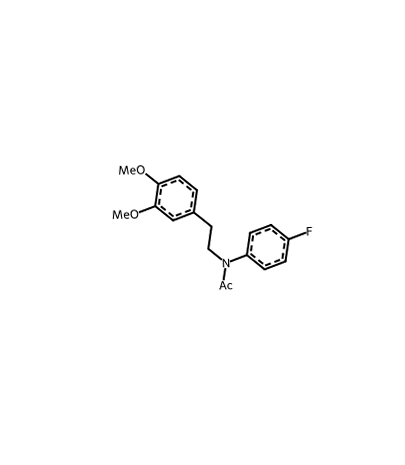 COc1ccc(CCN(C(C)=O)c2ccc(F)cc2)cc1OC